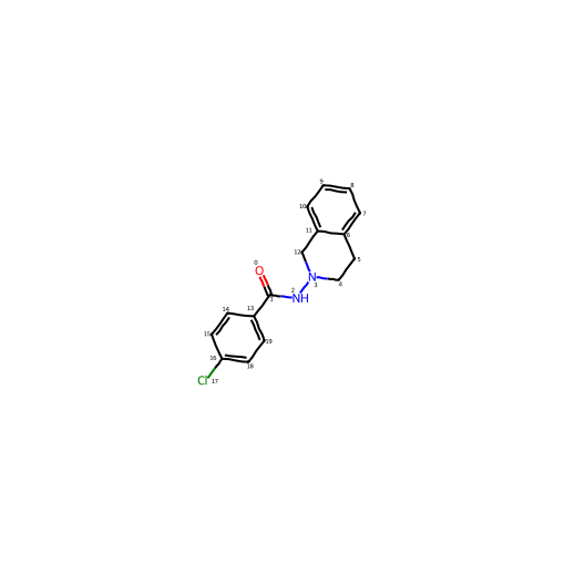 O=C(NN1CCc2ccccc2C1)c1ccc(Cl)cc1